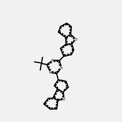 CC(C)(C)c1nc(-c2ccc3oc4ccccc4c3c2)nc(-c2ccc3oc4ccccc4c3c2)n1